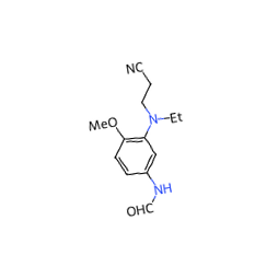 CCN(CCC#N)c1cc(NC=O)ccc1OC